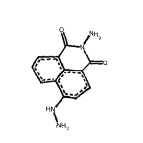 NNc1ccc2c3c(cccc13)C(=O)N(N)C2=O